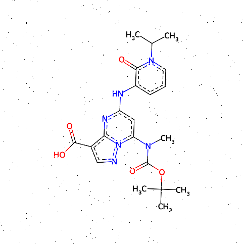 CC(C)n1cccc(Nc2cc(N(C)C(=O)OC(C)(C)C)n3ncc(C(=O)O)c3n2)c1=O